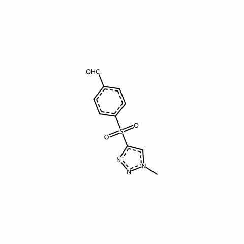 Cn1cc(S(=O)(=O)c2ccc(C=O)cc2)nn1